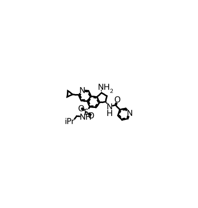 CC(C)CNS(=O)(=O)c1cc2c(c3cnc(C4CC4)cc13)[C@H](N)C[C@H]2NC(=O)c1cccnc1